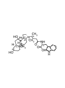 C[C@H](CCC(=O)N[C@@H](Cc1c[nH]c2ccccc12)C(=O)O)[C@H]1CC[C@H]2[C@@H]3[C@@H](O)C[C@@H]4C[C@H](O)CC[C@]4(C)[C@H]3CC[C@]12C